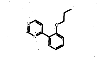 CCCOc1ccccc1-c1ccn[c]n1